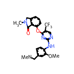 CNCc1ccc(Nc2ncc(C(F)(F)F)c(Oc3cccc4c3C(=O)N(C)C4)n2)c(OC)c1